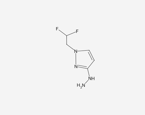 NNc1ccn(CC(F)F)n1